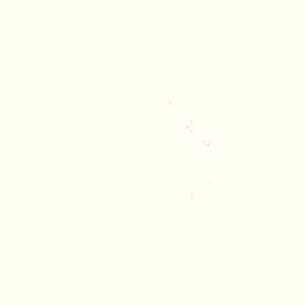 COC1(C=Cc2ccccc2)NN=C(C(Cl)(Cl)Cl)O1